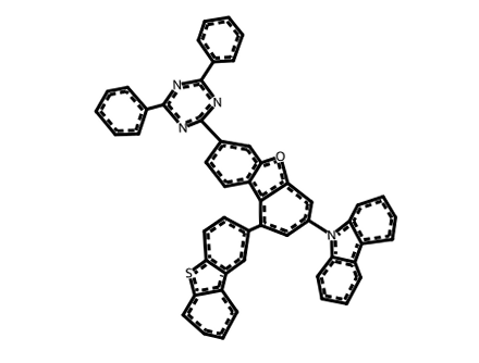 c1ccc(-c2nc(-c3ccccc3)nc(-c3ccc4c(c3)oc3cc(-n5c6ccccc6c6ccccc65)cc(-c5ccc6sc7ccccc7c6c5)c34)n2)cc1